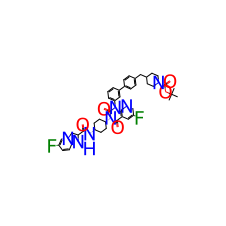 CC(C)(C)OC(=O)N1CCC(Cc2ccc(-c3cccc(-n4c(=O)n([C@H]5CC[C@@H](NC(=O)C6CN7C=C(F)C=CC7=N6)CC5)c(=O)c5cc(F)cnc54)c3)cc2)CC1